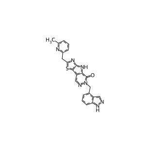 Cc1cccc(Cc2nc3[nH]c4c(=O)n(Cc5cccc6[nH]ncc56)ncc4c3s2)n1